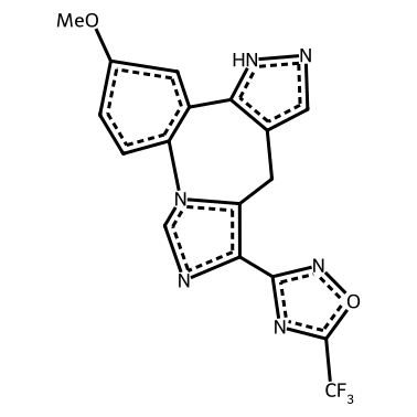 COc1ccc2c(c1)-c1[nH]ncc1Cc1c(-c3noc(C(F)(F)F)n3)ncn1-2